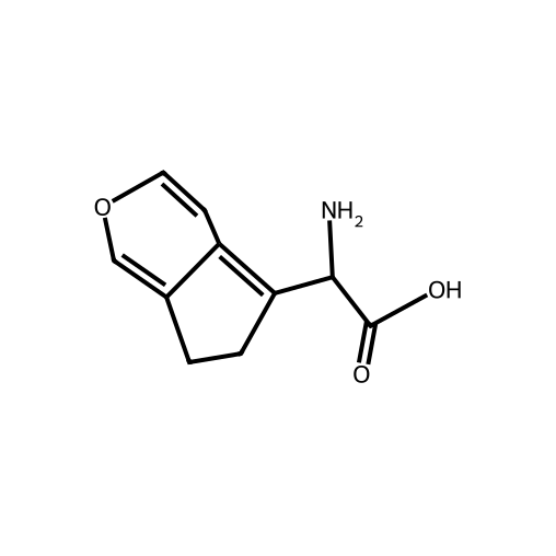 NC(C(=O)O)C1=C2C=COC=C2CC1